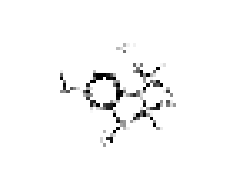 COc1ccc(N(S(C)(=O)=O)S(C)(=O)=O)c(CN)c1.Cl